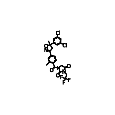 Cc1cc(C2=NOC(C)(c3cc(Cl)cc(Cl)c3)C2)ccc1C(=O)N1CC(=O)N(CC(F)(F)F)C1=O